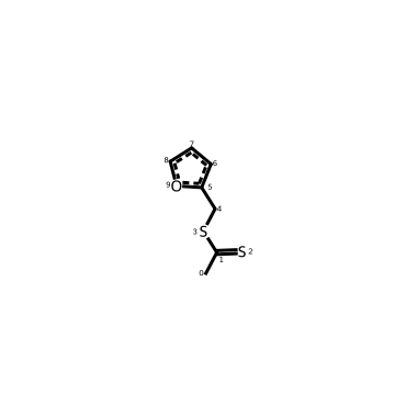 CC(=S)SCc1ccco1